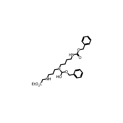 CCOC(=O)CNCCCN(CCCCNC(=O)OCc1ccccc1)C(O)OCc1ccccc1